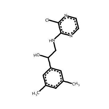 Cc1cc(C)cc(C(O)CNc2nccnc2Cl)c1